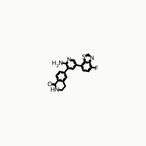 Nc1ncc(-c2ccc(F)c3ncsc23)cc1-c1ccc2c(c1)CCNC2=O